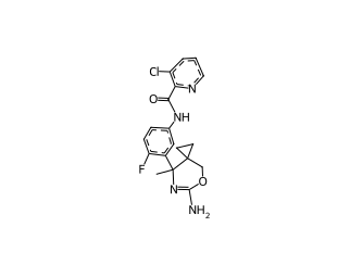 CC1(c2cc(NC(=O)c3ncccc3Cl)ccc2F)N=C(N)OCC12CC2